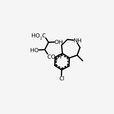 CC1CNCCc2ccc(Cl)cc21.O=C(O)C(O)C(O)C(=O)O